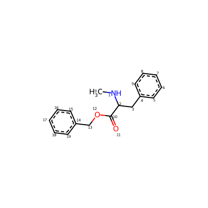 CNC(Cc1ccccc1)C(=O)OCc1ccccc1